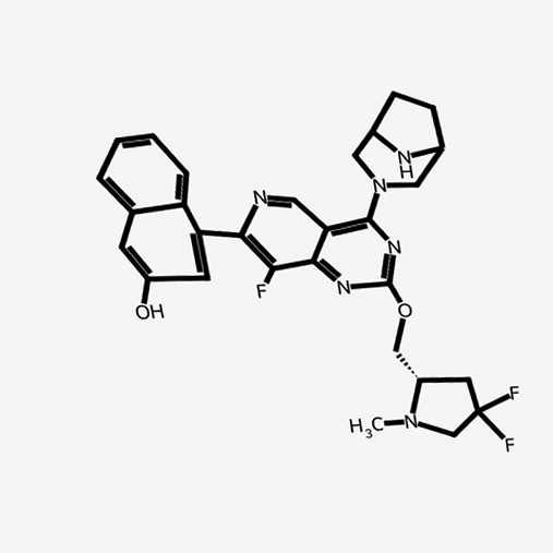 CN1CC(F)(F)C[C@H]1COc1nc(N2CC3CCC(C2)N3)c2cnc(-c3cc(O)cc4ccccc34)c(F)c2n1